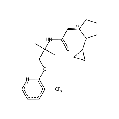 CC(C)(COc1ncccc1C(F)(F)F)NC(=O)C[C@H]1CCCN1C1CC1